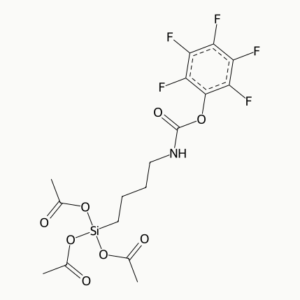 CC(=O)O[Si](CCCCNC(=O)Oc1c(F)c(F)c(F)c(F)c1F)(OC(C)=O)OC(C)=O